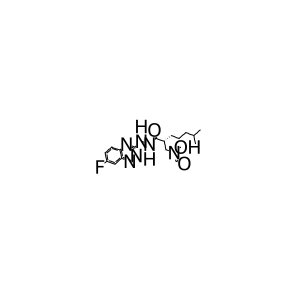 CC(C)CCC[C@H](CN(O)C=O)C(=O)NNc1nnc2cc(F)ccc2n1